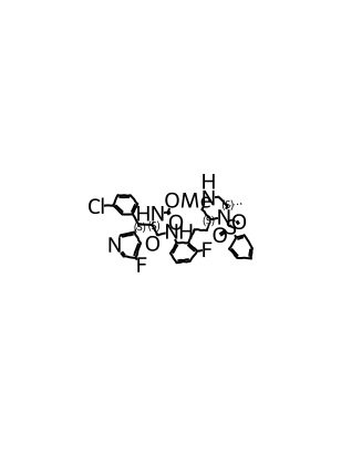 COC(=O)N[C@H](C(=O)Nc1cccc(F)c1CC[C@H]1CNC[C@H](C)N1S(=O)(=O)c1ccccc1)[C@H](c1cncc(F)c1)c1cccc(Cl)c1